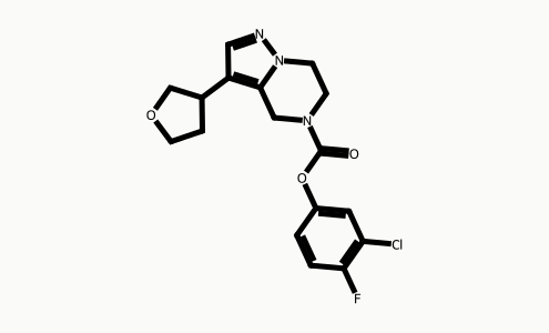 O=C(Oc1ccc(F)c(Cl)c1)N1CCn2ncc(C3CCOC3)c2C1